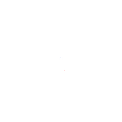 CCc1ccc(Oc2ccccc2)nc1